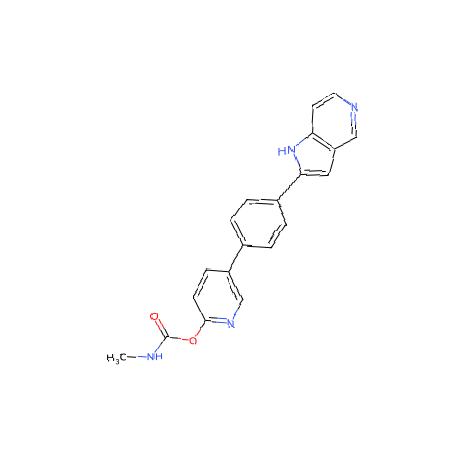 CNC(=O)Oc1ccc(-c2ccc(-c3cc4cnccc4[nH]3)cc2)cn1